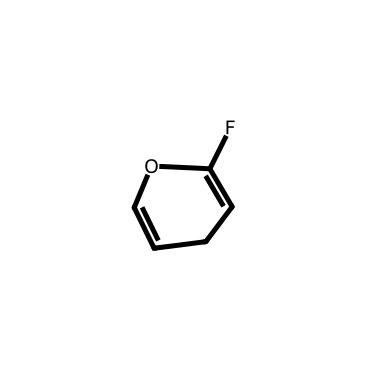 FC1=CCC=CO1